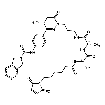 CC1CC(=O)N(CCCNC(=O)[C@H](C)NC(=O)[C@@H](NC(=O)CCCCCN2C(=O)C=CC2=O)C(C)C)N=C1c1ccc(NC(=O)N2Cc3ccncc3C2)cc1